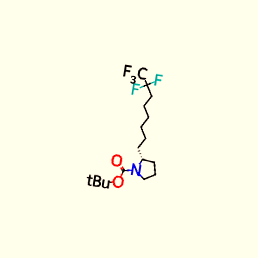 CC(C)(C)OC(=O)N1CCC[C@H]1CCCCCCC(F)(F)C(F)(F)F